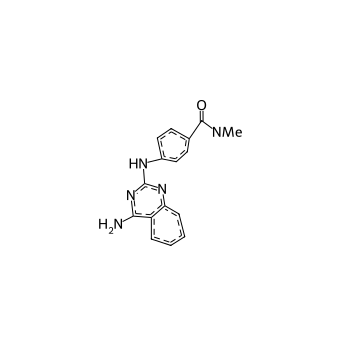 CNC(=O)c1ccc(Nc2nc(N)c3ccccc3n2)cc1